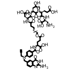 C#CCN(Cc1ccc2nc(N)[nH]c(=O)c2c1)c1ccc(C(=O)NC(CCC(=O)OSSCCC(=O)N[C@@H](CC(=O)O)C(=O)N[C@@H](CC(=O)O)C(=O)N[C@@H](CCC(=O)O)C(=O)N[C@@H](CN)C(=O)O)C(=O)O)cc1